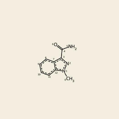 Cn1nc(C(N)=O)c2c[c]ccc21